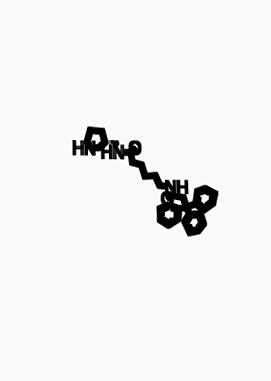 O=C(CCCCCNC(=O)CC(c1ccccc1)(c1ccccc1)c1ccccc1)NC[C@H]1CCCNC1